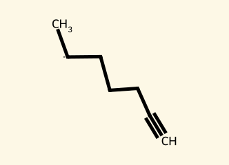 C#CCCC[CH]C